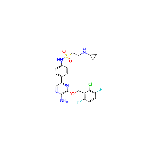 Nc1ncc(-c2ccc(NS(=O)(=O)CCNC3CC3)cc2)nc1OCc1c(F)ccc(F)c1Cl